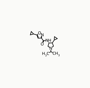 CC(C)N1CC(C2CC2)[C@@H](NC(=O)c2cc(C3CC3)on2)C1